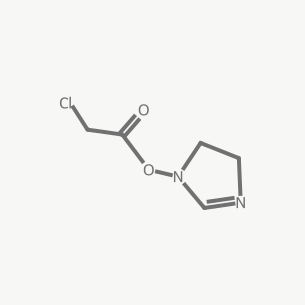 O=C(CCl)ON1C=NCC1